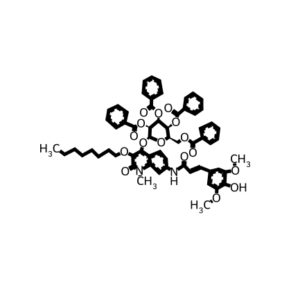 CCCCCCCCOc1c(O[C@@H]2O[C@H](COC(=O)c3ccccc3)[C@H](OC(=O)c3ccccc3)[C@H](OC(=O)c3ccccc3)[C@H]2OC(=O)c2ccccc2)c2ccc(NC(=O)/C=C/c3cc(OC)c(O)c(OC)c3)cc2n(C)c1=O